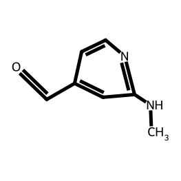 CNc1cc(C=O)ccn1